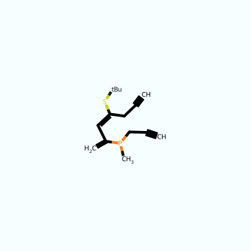 C#CC/C(=C\C(=C)P(C)CC#C)SC(C)(C)C